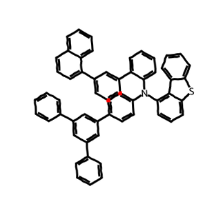 c1ccc(-c2cc(-c3ccccc3)cc(-c3ccc(N(c4ccccc4-c4cccc(-c5cccc6ccccc56)c4)c4cccc5sc6ccccc6c45)cc3)c2)cc1